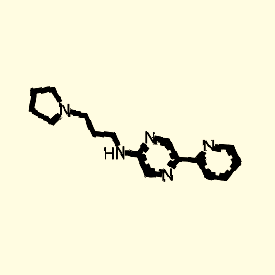 c1ccc(-c2cnc(NCCCN3CCCC3)cn2)nc1